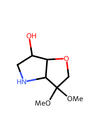 COC1(OC)COC2C(O)CNC21